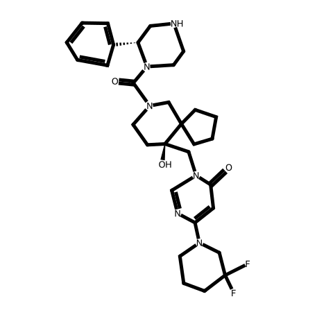 O=C(N1CC[C@@](O)(Cn2cnc(N3CCCC(F)(F)C3)cc2=O)C2(CCCC2)C1)N1CCNC[C@H]1c1ccccc1